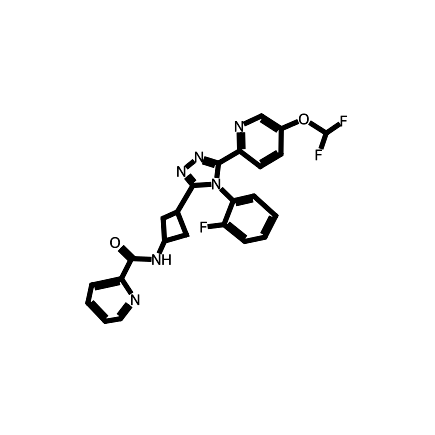 O=C(NC1CC(c2nnc(-c3ccc(OC(F)F)cn3)n2-c2ccccc2F)C1)c1ccccn1